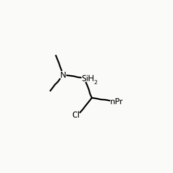 CCCC(Cl)[SiH2]N(C)C